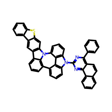 c1ccc(-c2nc(-n3c4cccc5c6cccc7c8cc9c(cc8n(c8cccc3c8c54)c67)sc3ccccc39)nc3c2ccc2ccccc23)cc1